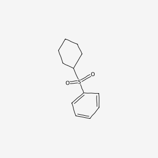 O=S(=O)(c1ccccc1)C1CCCCC1